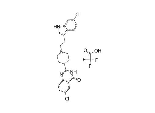 O=C(O)C(F)(F)F.O=c1[nH]c(C2CCN(CCc3c[nH]c4cc(Cl)ccc34)CC2)nc2ccc(Cl)cc12